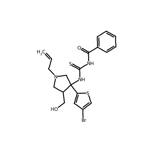 C=CCN1CC(CO)C(NC(=S)NC(=O)c2ccccc2)(c2cc(Br)cs2)C1